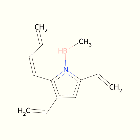 C=C/C=C\c1c(C=C)cc(C=C)n1BC